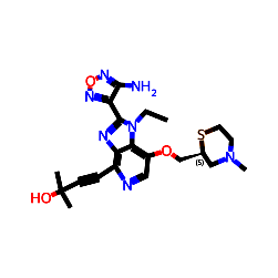 CCn1c(-c2nonc2N)nc2c(C#CC(C)(C)O)ncc(OC[C@@H]3CN(C)CCS3)c21